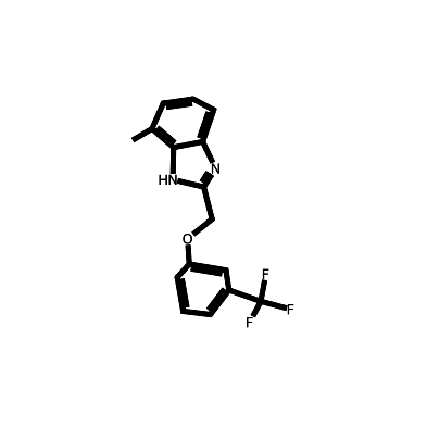 Cc1cccc2nc(COc3cccc(C(F)(F)F)c3)[nH]c12